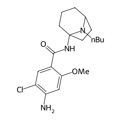 CCCCN1C2CCCC1(NC(=O)c1cc(Cl)c(N)cc1OC)CC2